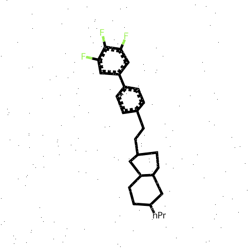 CCCC1CCC2CC(CCc3ccc(-c4cc(F)c(F)c(F)c4)cc3)CCC2C1